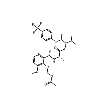 COc1ccnc(C(=O)N[C@@H](C)C(=O)OC(C(C)C)[C@H](C)Oc2ccc(C(F)(F)F)cc2)c1OCOC(C)=O